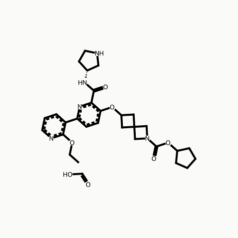 CCOc1ncccc1-c1ccc(OC2CC3(C2)CN(C(=O)OC2CCCC2)C3)c(C(=O)N[C@@H]2CCNC2)n1.O=CO